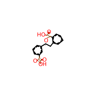 O=S(=O)(O)c1cccc([CH]Cc2ccccc2S(=O)(=O)O)c1